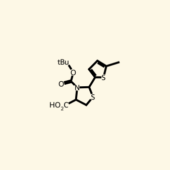 Cc1ccc(C2SCC(C(=O)O)N2C(=O)OC(C)(C)C)s1